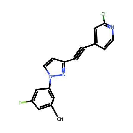 N#Cc1cc(F)cc(-n2ccc(C#Cc3ccnc(Cl)c3)n2)c1